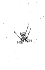 CCCCCCCCCCCCC(O)CNCCN(CCN(CC(C)O)CC(O)CCCCCCCCCCCC)CCN(CC(C)O)CC(O)CCCCCCCCCCCC